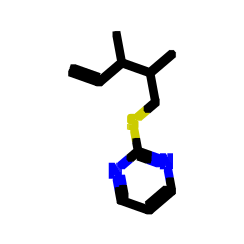 C=CC(C)C(C)CSc1ncccn1